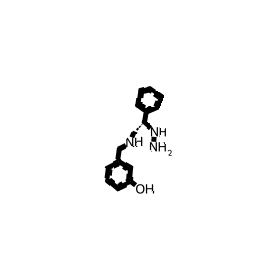 NN[C@H](CNCc1cccc(O)c1)c1ccccc1